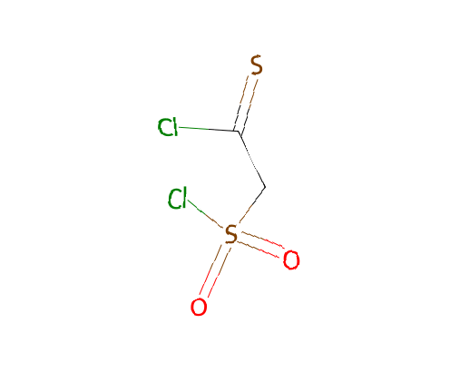 O=S(=O)(Cl)CC(=S)Cl